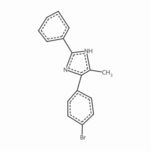 Cc1[nH]c(-c2ccccc2)nc1-c1ccc(Br)cc1